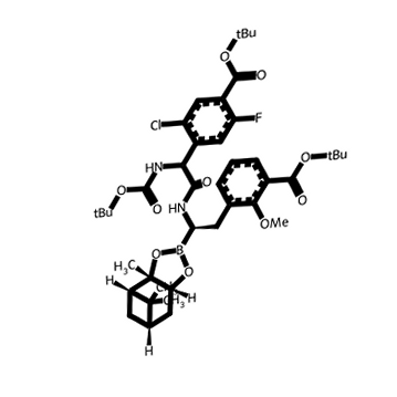 COc1c(C[C@H](NC(=O)C(NC(=O)OC(C)(C)C)c2cc(F)c(C(=O)OC(C)(C)C)cc2Cl)B2O[C@@H]3C[C@@H]4C[C@@H](C4(C)C)[C@]3(C)O2)cccc1C(=O)OC(C)(C)C